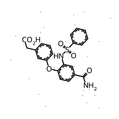 NC(=O)c1ccc(Oc2cccc(CC(=O)O)c2)c(NS(=O)(=O)c2ccccc2)c1